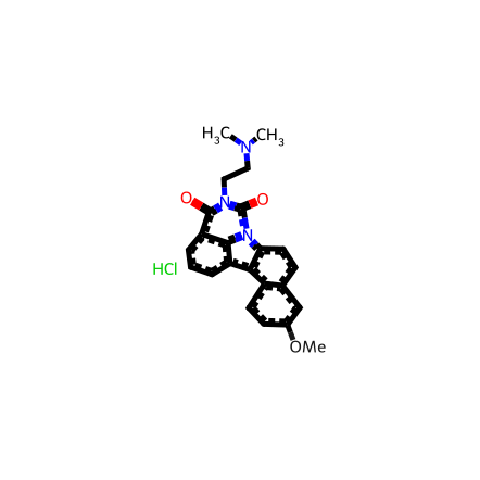 COc1ccc2c(ccc3c2c2cccc4c(=O)n(CCN(C)C)c(=O)n3c42)c1.Cl